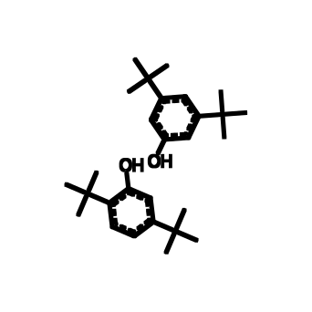 CC(C)(C)c1cc(O)cc(C(C)(C)C)c1.CC(C)(C)c1ccc(C(C)(C)C)c(O)c1